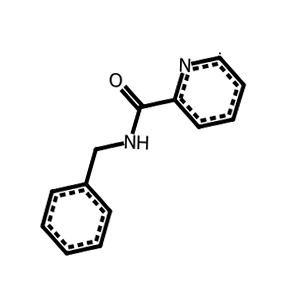 O=C(NCc1ccccc1)c1ccc[c]n1